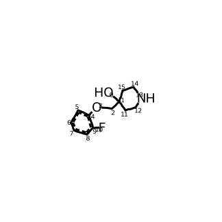 OC1(COc2ccccc2F)CCNCC1